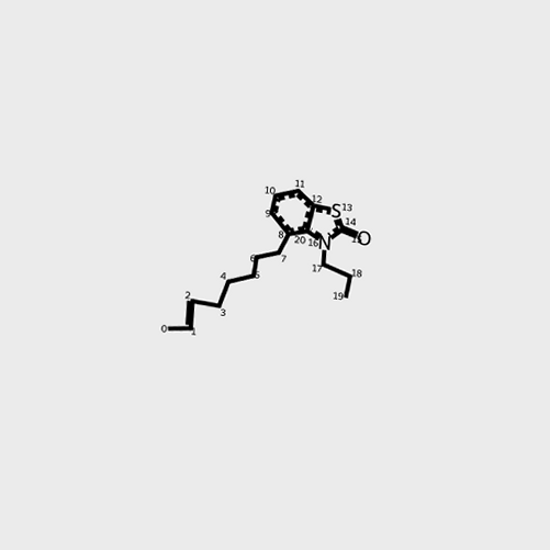 CC=CCCCCCc1cccc2sc(=O)n(CCC)c12